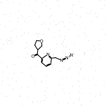 [N-]=[N+]=NCc1cccc(C(=O)C2CCOC2)n1